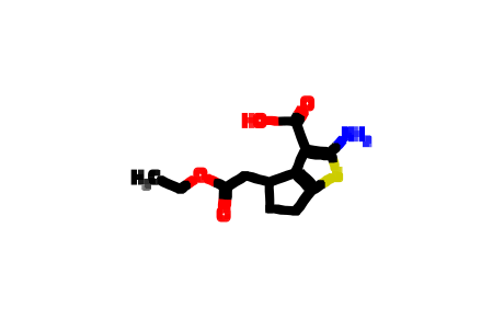 CCOC(=O)CC1CCc2sc(N)c(C(=O)O)c21